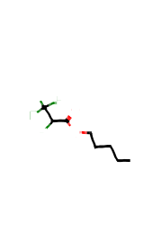 CCCCCOC(=O)C(F)C(F)(F)F